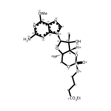 CCOC(=O)CCCO[P@@]1(=O)OC[C@H]2O[C@@H](n3cnc4c(OC)nc(N)nc43)[C@](C)(O)[C@@H]2O1